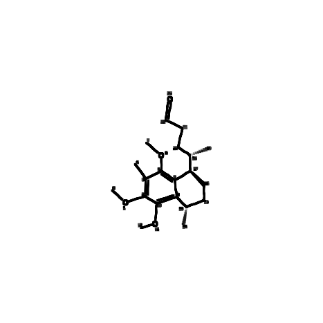 COc1c(C)c(OC)c2c(c1OC)[C@@H](C)CC[C@@H]2[C@@H](C)CCC=O